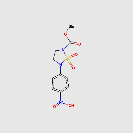 CC(C)(C)OC(=O)N1CCN(c2ccc([N+](=O)O)cc2)S1(=O)=O